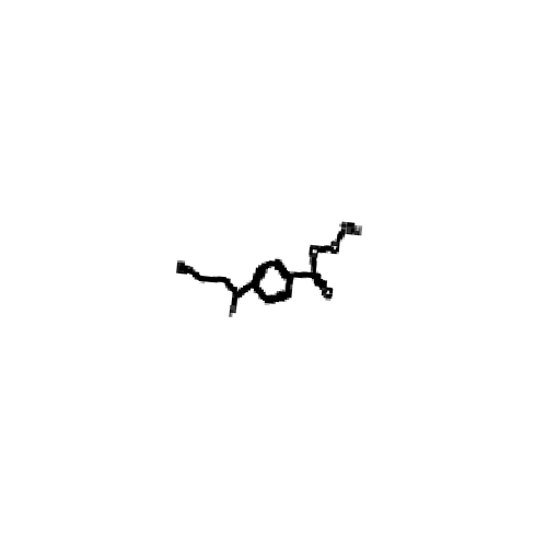 CC(C)(C)OOC(=O)c1ccc(C(F)CCBr)cc1